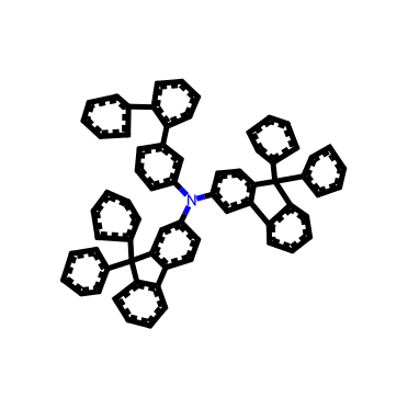 c1ccc(-c2ccccc2-c2cccc(N(c3ccc4c(c3)-c3ccccc3C4(c3ccccc3)c3ccccc3)c3ccc4c(c3)C(c3ccccc3)(c3ccccc3)c3ccccc3-4)c2)cc1